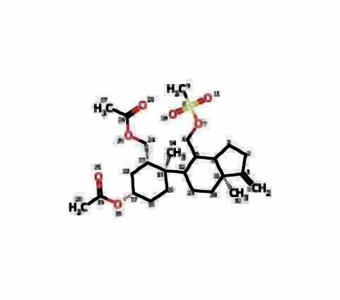 C=C1CCC2C(COS(C)(=O)=O)C([C@@]3(C)CC[C@H](OC(C)=O)C[C@@H]3COC(C)=O)CC[C@]12C